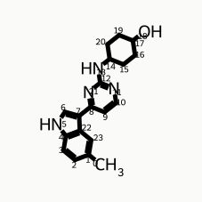 Cc1ccc2[nH]cc(-c3ccnc(NC4CCC(O)CC4)n3)c2c1